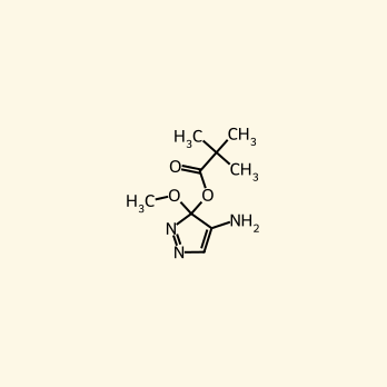 COC1(OC(=O)C(C)(C)C)N=NC=C1N